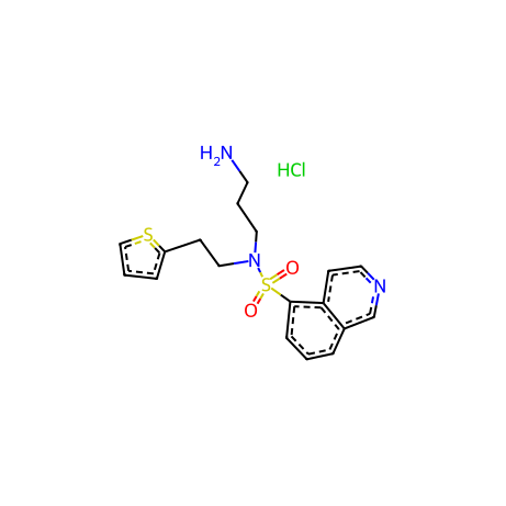 Cl.NCCCN(CCc1cccs1)S(=O)(=O)c1cccc2cnccc12